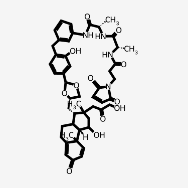 C[C@H](NC(=O)CCN1C(=O)C=CC1=O)C(=O)N[C@@H](C)C(=O)Nc1cccc(Cc2ccc(C3OC[C@@H](C[C@H]4C5CCC6=CC(=O)C=CC6(C)[C@H]5C(O)CC4(C)CC(=O)CO)O3)cc2O)c1